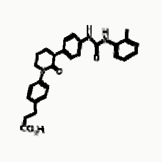 Cc1ccccc1NC(=O)Nc1ccc(C2CCCN(c3ccc(CCC(=O)O)cc3)C2=O)cc1